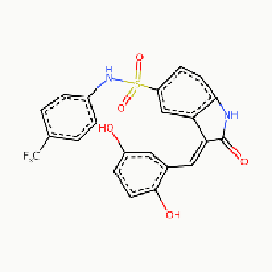 O=C1Nc2ccc(S(=O)(=O)Nc3ccc(C(F)(F)F)cc3)cc2C1=Cc1cc(O)ccc1O